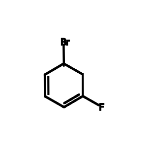 FC1=CC=C[C](Br)C1